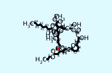 C=CCOC(=O)CC1C[C@H]2C[C@H]3CCC[C@@H](C[C@@H](O)CC(=O)O[C@@H](CO)C[C@@H]4C/C(=C\C(=O)OC)[C@H](OC(=O)CCCCCCC)[C@@](O)(O4)C(C)(C)/C=C/[C@@H](O1)O2)O3